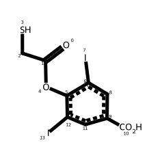 O=C(CS)Oc1c(I)cc(C(=O)O)cc1I